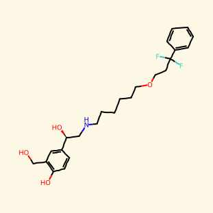 OCc1cc([C@@H](O)CNCCCCCCOCCC(F)(F)c2ccccc2)ccc1O